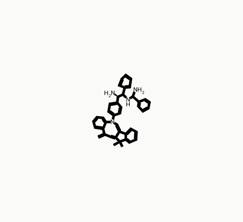 C=C1/C=C2\C(=C/N(c3ccc([C@@H](N)C(NC(N)c4ccccc4)c4ccccc4)cc3)c3ccccc31)c1ccccc1C2(C)C